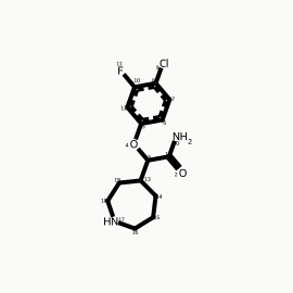 NC(=O)C(Oc1ccc(Cl)c(F)c1)C1CCCNCC1